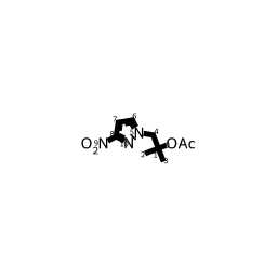 CC(=O)OC(C)(C)Cn1ccc([N+](=O)[O-])n1